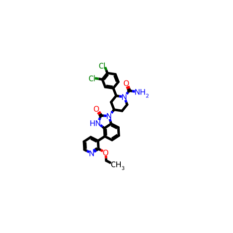 CCOc1ncccc1-c1cccc2c1[nH]c(=O)n2C1CCN(C(N)=O)C(c2ccc(Cl)c(Cl)c2)C1